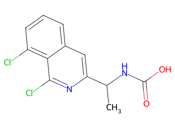 CC(NC(=O)O)c1cc2cccc(Cl)c2c(Cl)n1